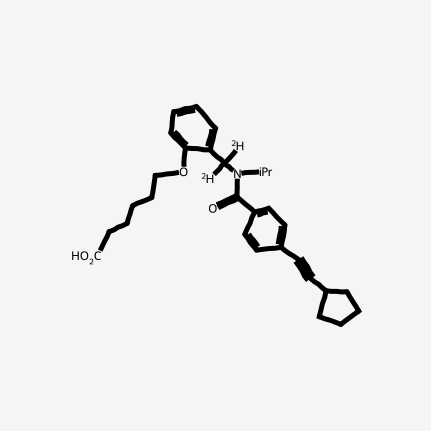 [2H]C([2H])(c1ccccc1OCCCCCC(=O)O)N(C(=O)c1ccc(C#CC2CCCC2)cc1)C(C)C